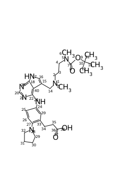 CN(CCCN(C)C(=O)OC(C)(C)C)Cc1c[nH]c2ncnc(Nc3ccc(N4CCCC4)c(CCC(=O)O)c3)c12